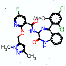 COc1cc(Cl)cc(Cl)c1C1=NC(NC(=O)c2cc(F)cnc2OCc2cc(C)nn2C)C(=O)Nc2ccccc21